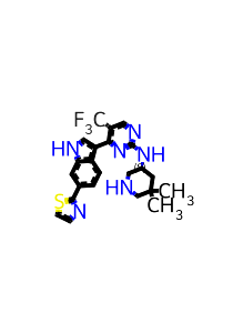 CC1(C)CNC[C@@H](Nc2ncc(C(F)(F)F)c(-c3c[nH]c4cc(-c5nccs5)ccc34)n2)C1